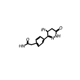 CC(C)C1CC(=O)NN=C1c1ccc(CC([NH])=O)cc1